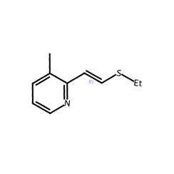 CCS/C=C/c1ncccc1C